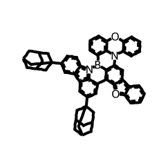 c1ccc2c(c1)Oc1cccc3c1N2c1cc2c(oc4ccccc42)c2c1B3n1c3ccc(C45CC6CC(CC(C6)C4)C5)cc3c3cc(C45CC6CC(CC(C6)C4)C5)cc-2c31